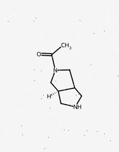 CC(=O)N1CC2CNC[C@H]2C1